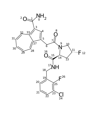 NC(=O)c1cc(CC(=O)N2C[C@H](F)C[C@H]2C(=O)NCc2cccc(Cl)c2F)c2cccccc1-2